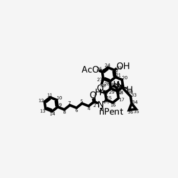 CCCCCN(C(=O)CCCCCc1ccccc1)[C@@H]1CC[C@H]2[C@H]3Cc4c(O)cc(OC(C)=O)c5c4[C@@]2(CCN3CC2CC2)[C@H]1O5